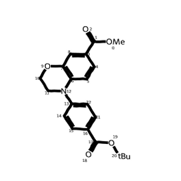 COC(=O)c1ccc2c(c1)OCCN2c1ccc(C(=O)OC(C)(C)C)cc1